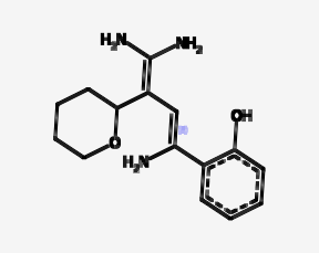 NC(N)=C(/C=C(\N)c1ccccc1O)C1CCCCO1